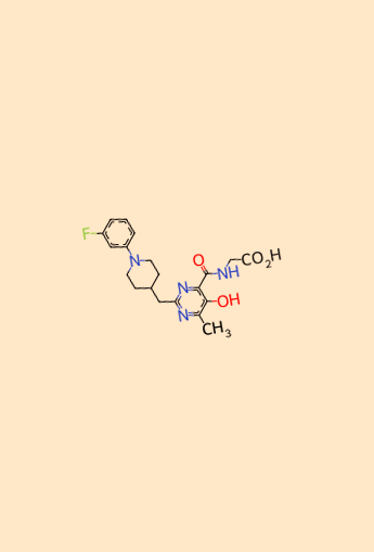 Cc1nc(CC2CCN(c3cccc(F)c3)CC2)nc(C(=O)NCC(=O)O)c1O